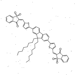 CCCCCCCCC1(CCCCCCCC)c2cc(-c3ccc(/C=C4\C(=O)c5ccccc5S4(=O)=O)s3)ccc2-c2ccc(-c3ccc(/C=C4\C(=O)c5ccccc5S4(=O)=O)s3)cc21